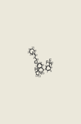 FC(F)(F)c1cccc([C@@H]2CN3CCC[C@H]3c3cc(OCCCN4CCCCC4)ccc32)c1